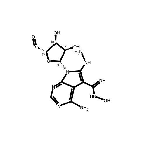 N=C(NO)c1c(NN)n([C@@H]2O[C@H](C=O)[C@@H](O)[C@H]2O)c2ncnc(N)c12